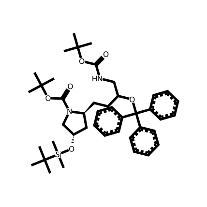 CC(C)(C)OC(=O)NCC(CC[C@H]1C[C@H](O[Si](C)(C)C(C)(C)C)CN1C(=O)OC(C)(C)C)OC(c1ccccc1)(c1ccccc1)c1ccccc1